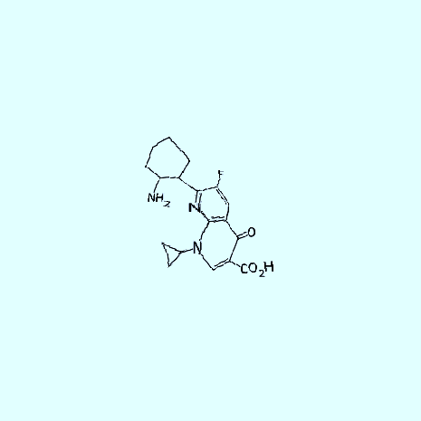 NC1CCCCC1c1nc2c(cc1F)c(=O)c(C(=O)O)cn2C1CC1